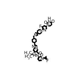 CC(C)Oc1cc2nc(C3CCC(CN4CC5(CCN(c6ncc(N7CCC(=O)NC7=O)cc6F)CC5)C4)CC3)cn2cc1C(=O)Nc1cccn([C@H]2C[C@H]2F)c1=O